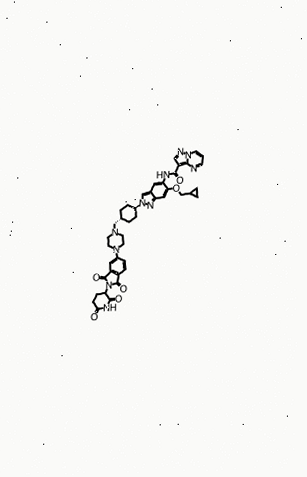 O=C1CCC(N2C(=O)c3ccc(N4CCN(C[C@H]5CC[C@H](n6cc7cc(NC(=O)c8cnn9cccnc89)c(OCC8CC8)cc7n6)CC5)CC4)cc3C2=O)C(=O)N1